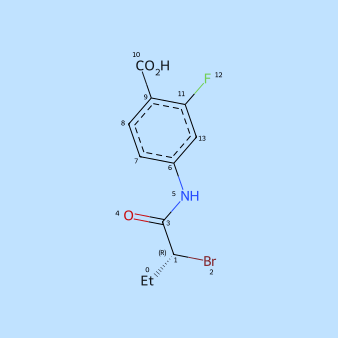 CC[C@@H](Br)C(=O)Nc1ccc(C(=O)O)c(F)c1